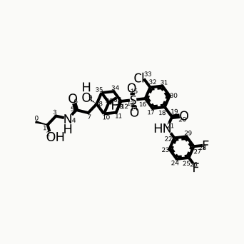 C[C@H](O)CNC(=O)C[C@]1(O)C2CC(S(=O)(=O)c3cc(C(=O)Nc4ccc(F)c(F)c4)ccc3Cl)CC1[C@@H]2C